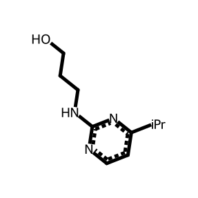 CC(C)c1ccnc(NCCCO)n1